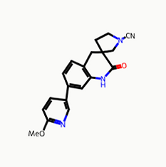 COc1ccc(-c2ccc3c(c2)NC(=O)C2(CCN(C#N)C2)C3)cn1